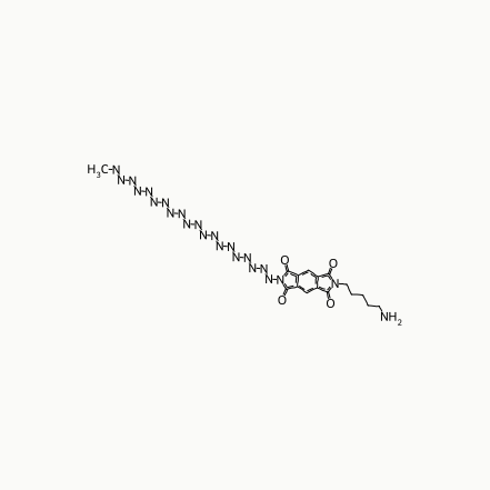 CN=NN=NN=NN=NN=NN=NN=NN=NN=NN=Nn1c(=O)c2cc3c(=O)n(CCCCCN)c(=O)c3cc2c1=O